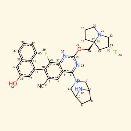 N#Cc1cc2c(N3CC4CCC(C3)N4)nc(OC[C@@]34CCCN3C[C@H](F)C4)nc2c(F)c1-c1cc(O)cc2ccccc12